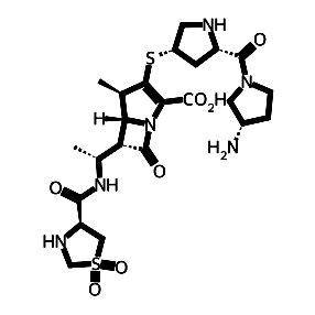 C[C@@H](NC(=O)[C@H]1CS(=O)(=O)CN1)[C@H]1C(=O)N2C(C(=O)O)=C(S[C@@H]3CN[C@H](C(=O)N4CC[C@H](N)C4)C3)[C@H](C)[C@@H]12